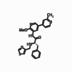 COc1ncc(-c2ccnc(C)c2)cc1NC(=O)[C@H](Cc1ccccc1)NCc1cscn1